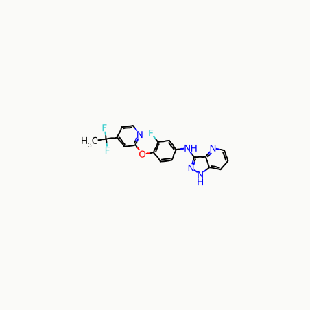 CC(F)(F)c1ccnc(Oc2ccc(Nc3n[nH]c4cccnc34)cc2F)c1